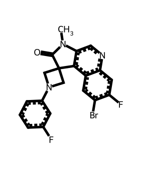 CN1C(=O)C2(CN(c3cccc(F)c3)C2)c2c1cnc1cc(F)c(Br)cc21